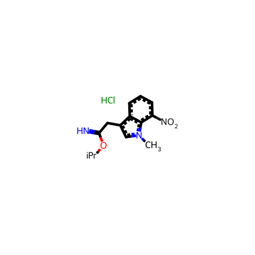 CC(C)OC(=N)Cc1cn(C)c2c([N+](=O)[O-])cccc12.Cl